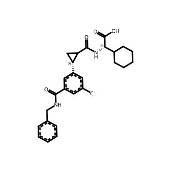 O=C(NCc1ccccc1)c1cc(Cl)cc([C@@H]2CC2C(=O)N[C@H](C(=O)O)C2CCCCC2)c1